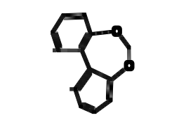 [c]1cccc2c1-c1[c]cccc1OCO2